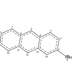 CC(C)(C)c1ccc2[c]c3ccccc3[c]c2c1